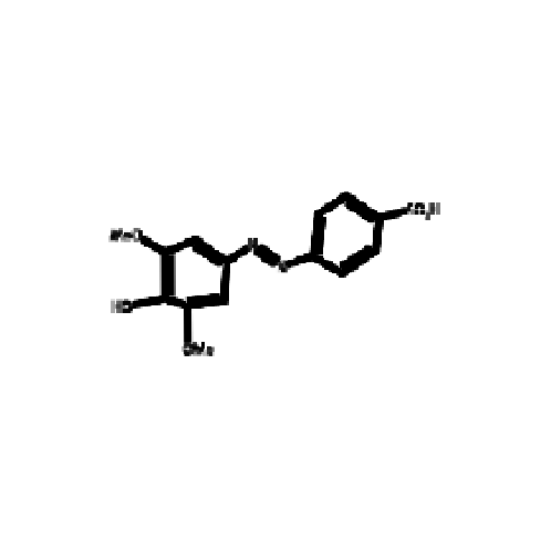 COc1cc(N=Nc2ccc(S(=O)(=O)O)cc2)cc(OC)c1O